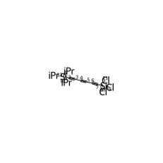 CC(C)[Si](C#CC#CC#C[Si](Cl)(Cl)Cl)(C(C)C)C(C)C